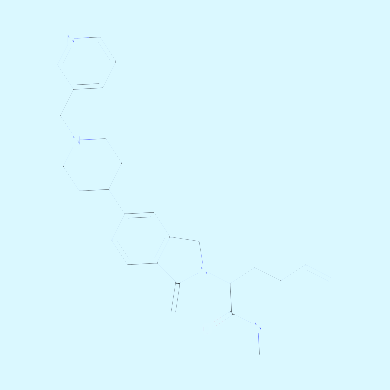 C=CCCC(C(=O)NC)N1Cc2cc(C3CCN(Cc4cccnc4)CC3)ccc2C1=C